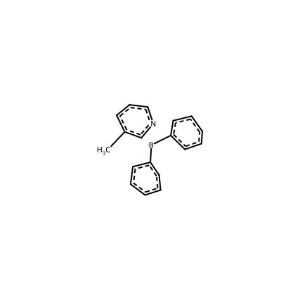 Cc1cccnc1.[B](c1ccccc1)c1ccccc1